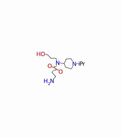 CC(C)N1CCC(N(CCCO)S(=O)(=O)CCN)CC1